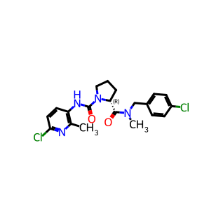 Cc1nc(Cl)ccc1NC(=O)N1CCC[C@@H]1C(=O)N(C)Cc1ccc(Cl)cc1